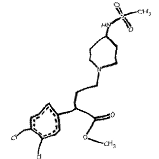 COC(=O)C(CCN1CCC(NS(C)(=O)=O)CC1)c1ccc(Cl)c(Cl)c1